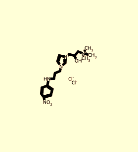 C[N+](C)(C)CC(O)C[n+]1ccn(CCCNc2ccc([N+](=O)[O-])cc2)c1.[Cl-].[Cl-]